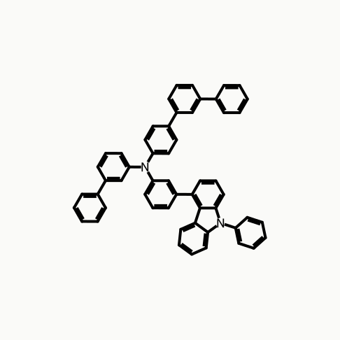 c1ccc(-c2cccc(-c3ccc(N(c4cccc(-c5ccccc5)c4)c4cccc(-c5cccc6c5c5ccccc5n6-c5ccccc5)c4)cc3)c2)cc1